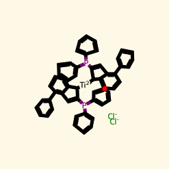 C1=C(P(c2ccccc2)c2ccccc2)[CH]([Ti+2][CH]2C(P(c3ccccc3)c3ccccc3)=Cc3c(-c4ccccc4)cccc32)c2cccc(-c3ccccc3)c21.[Cl-].[Cl-]